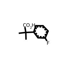 CC(C)(C(=O)O)c1cccc(F)c1